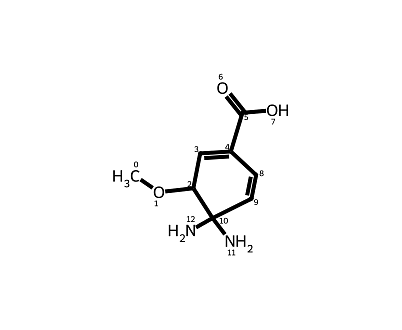 COC1C=C(C(=O)O)C=CC1(N)N